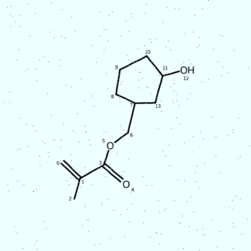 C=C(C)C(=O)OCC1CCCC(O)C1